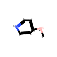 CBc1ccncc1